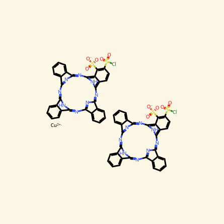 O=S(=O)([O-])c1c(S(=O)(=O)Cl)ccc2c3nc4nc(nc5[nH]c(nc6nc(nc([nH]3)c12)-c1ccccc1-6)c1ccccc51)-c1ccccc1-4.O=S(=O)([O-])c1c(S(=O)(=O)Cl)ccc2c3nc4nc(nc5[nH]c(nc6nc(nc([nH]3)c12)-c1ccccc1-6)c1ccccc51)-c1ccccc1-4.[Cu+2]